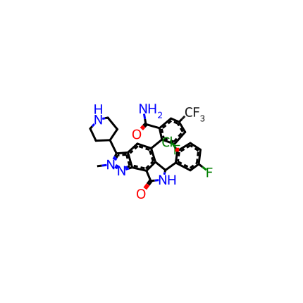 Cn1nc2c3c(c(-c4c(F)cc(C(F)(F)F)cc4C(N)=O)cc2c1C1CCNCC1)C(c1cc(F)ccc1Cl)NC3=O